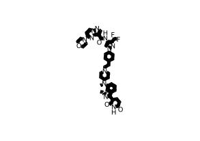 CN(c1cccc2c(C3CCC(=O)NC3=O)nn(C)c12)C1CCN(CCC2CCC(n3cc(NC(=O)c4cnn5ccc(N6CCOCC6)nc45)c(C(F)F)n3)CC2)CC1